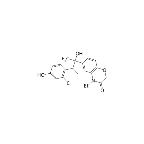 CCN1C(=O)COc2ccc(C(O)(C(C)c3ccc(O)cc3Cl)C(F)(F)F)cc21